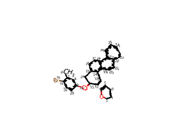 C1=CCOC=C1.Cc1cc(OC2CCc3c(ccc4c3ccc3ccccc34)C2)ccc1Br